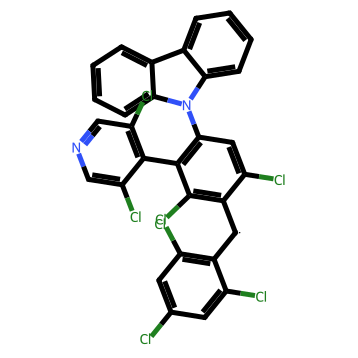 Clc1cc(Cl)c([CH]c2c(Cl)cc(-n3c4ccccc4c4ccccc43)c(-c3c(Cl)cncc3Cl)c2Cl)c(Cl)c1